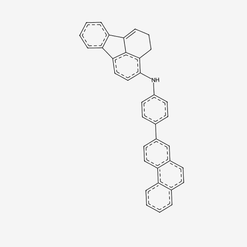 C1=C2c3ccccc3-c3ccc(Nc4ccc(-c5ccc6c(ccc7ccccc76)c5)cc4)c(c32)CC1